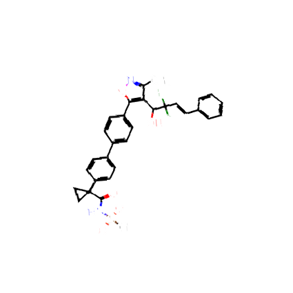 Cc1noc(-c2ccc(-c3ccc(C4(C(=O)NS(C)(=O)=O)CC4)cc3)cc2)c1C(O)C(F)(F)/C=C/c1ccccc1